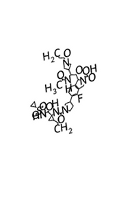 C=CC(=O)N1CC(C(NC(C)=O)C(=O)C2c3ccc(C4CCN(C(=O)NC5(C(=O)NS(=O)(=O)C6CC6)CC5C=C)C4)c(F)c3CN2C(=O)O)C1